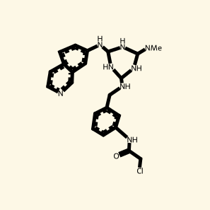 CNC1NC(NCc2cccc(NC(=O)CCl)c2)NC(Nc2ccc3ccncc3c2)N1